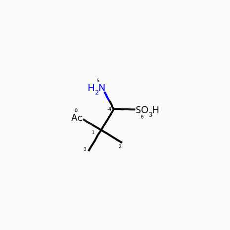 CC(=O)C(C)(C)C(N)S(=O)(=O)O